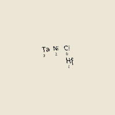 [C].[Hf].[N].[Ta]